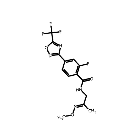 CON=C(C)CNC(=O)c1ccc(-c2noc(C(F)(F)F)n2)cc1F